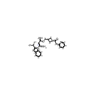 N=C(/C=C(\N)n1c(C(F)F)nc2ccccc21)OCC1CN(C(=O)Cc2ccccn2)C1